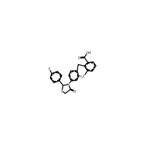 Cc1cccc(C(=O)O)c1Cc1ccc(N2C(=O)CSC2c2ccc(F)cc2)cc1